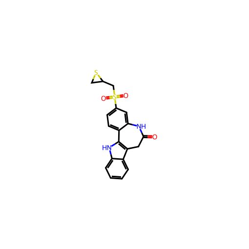 O=C1Cc2c([nH]c3ccccc23)-c2ccc(S(=O)(=O)CC3CS3)cc2N1